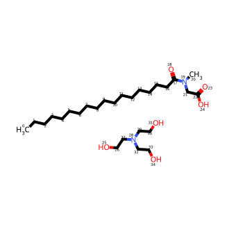 CCCCCCCCCCCCCCCCCC(=O)N(C)CC(=O)O.OCCN(CCO)CCO